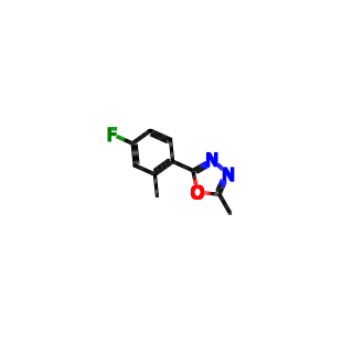 Cc1nnc(-c2ccc(F)cc2C)o1